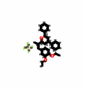 CCOc1ccc(C=C(C)c2cc(-c3ccccc3)cc(-c3ccccc3)[o+]2)cc1OCC.F[B-](F)(F)F